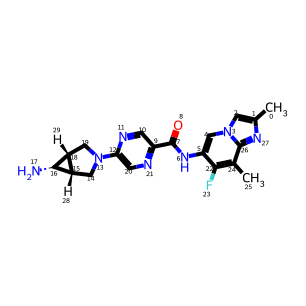 Cc1cn2cc(NC(=O)c3cnc(N4C[C@@H]5[C@H](N)[C@@H]5C4)cn3)c(F)c(C)c2n1